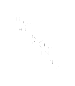 C=CC(=O)NC1CCN(S(=O)(=O)c2ccc(C(=O)NCCN3CCOCC3)cc2)CC1